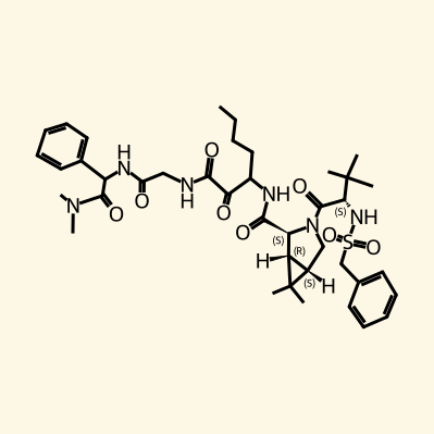 CCCCC(NC(=O)[C@@H]1[C@@H]2[C@H](CN1C(=O)[C@@H](NS(=O)(=O)Cc1ccccc1)C(C)(C)C)C2(C)C)C(=O)C(=O)NCC(=O)NC(C(=O)N(C)C)c1ccccc1